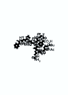 C=C(C(=O)Nc1ccc(C(OC(=O)N(C)[C@H](C(=O)N[C@H](C(=C)C(=O)N(C)[C@@H]([C@@H](C)CC)[C@@H](CC(=O)N2CCC[C@H]2[C@H](OC)[C@@H](C)C(=O)N[C@H](C)[C@@H](O)c2ccccc2)OC)C(C)C)C(C)C)C(=O)O)cc1)[C@H](CCCNC(N)=O)NC(=O)[C@@H](NC(=O)[C@H](CCC(=O)OC(C)(C)C)NC(C)=O)C(C)C